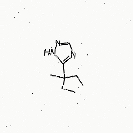 CCC(C)(CC)c1ncn[nH]1